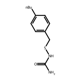 CCCCc1ccc(CSNC(N)=O)cc1